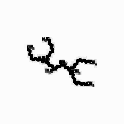 CCCCC/C=C\CCCO[Si](C)(CCCCN(C)CCCN(C)CCCC[Si](C)(OCCC/C=C\CCCCC)OCCC/C=C\CCCCC)OCCC/C=C\CCCCC